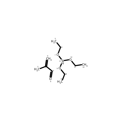 C=C(C)C=O.CCO[SiH](OCC)OCC